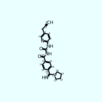 C#CCc1ccc(NC(=O)NC(=O)c2ccc(C(=N)N3CCCC3)cc2)nc1